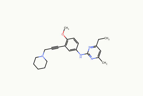 CCc1cc(C)nc(Nc2ccc(OC)c(C#CCN3CCCCC3)c2)n1